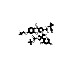 CC(C)(C)OC(=O)N1CC(C(=O)N2CC([S+]([O-])c3ccc(OCC(F)(F)F)cc3Cl)C[C@H]2C(=O)NC2(C#N)CC2)(c2ncc(Br)cc2F)C1